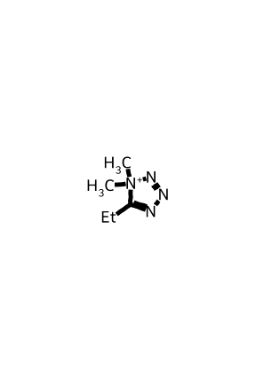 CCC1=NN=N[N+]1(C)C